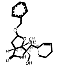 C[C@H]([C@@H]1C=CCCC1)[C@@]1(CO)NC(=O)[C@@H]2CC(OCc3ccccc3)O[C@@]21C